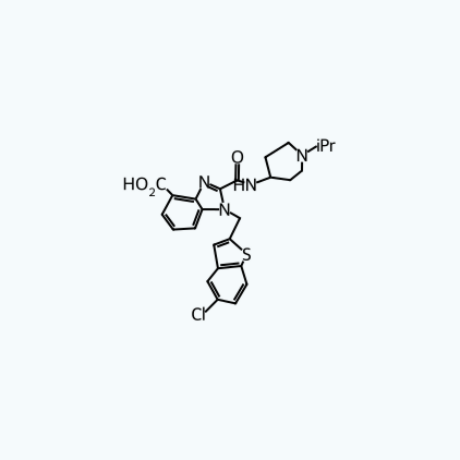 CC(C)N1CCC(NC(=O)c2nc3c(C(=O)O)cccc3n2Cc2cc3cc(Cl)ccc3s2)CC1